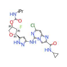 CC(C)NC(=O)O[C@@H]1CO[C@H](c2cc(Nc3nc(Cl)cc4nc(C(=O)NC5CC5)cn34)n[nH]2)[C@H]1F